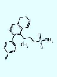 C[C@@H](CCS(N)(=O)=O)c1c(-c2ccc(F)cc2)ncc2c1C=CCC2